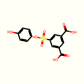 O=C(O)c1cc(C(=O)O)cc(S(=O)(=O)O)c1.Oc1ccccc1